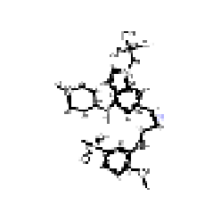 COc1ccc(S(C)(=O)=O)cc1NC/C=C\c1cc(NC2CCN(C)CC2)c2ccn(CC(F)(F)F)c2c1